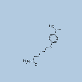 CC(O)c1ccc(SCCCCCC(N)=O)cc1